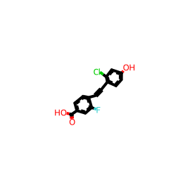 O=C(O)c1ccc(C#Cc2ccc(O)cc2Cl)c(F)c1